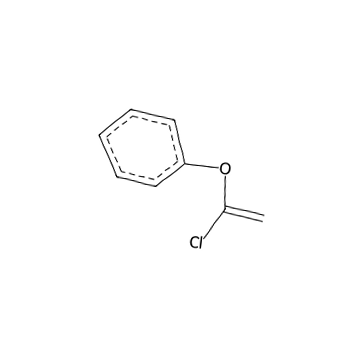 C=C(Cl)Oc1ccccc1